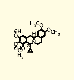 COc1cc2c(cc1OC)[C@@H]1Cc3cc(OC)c(OC)c(OC)c3[C@H](C3CC3)N1CC2